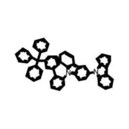 c1cc(C(c2ccccc2)(c2ccccc2)c2ccccc2)cc(-c2ccccc2-n2c3c(c4cc(-n5c6ccccc6c6ccccc65)ccc42)C=CCC3)c#1